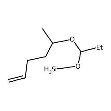 C=CCCC(C)OC(CC)O[SiH3]